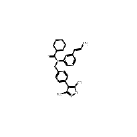 Cc1noc(C)c1-c1ccc(CN(C(=O)C2CCCCC2)c2cccc(C=CC(=O)O)c2)cc1